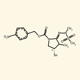 CC1C(=NN(C)S(C)(=O)=O)N(C(=O)OCc2ccc([N+](=O)[O-])cc2)C[C@H]1S